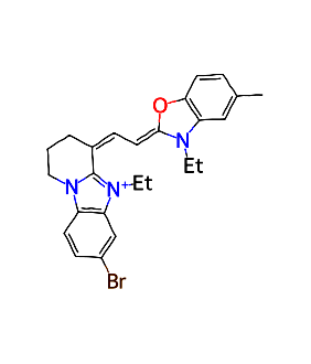 CCN1/C(=C/C=C2/CCCn3c2[n+](CC)c2cc(Br)ccc23)Oc2ccc(C)cc21